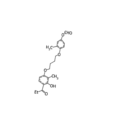 CCC(=O)c1ccc(OCCCCOc2ccc(OC=O)cc2C)c(C)c1O